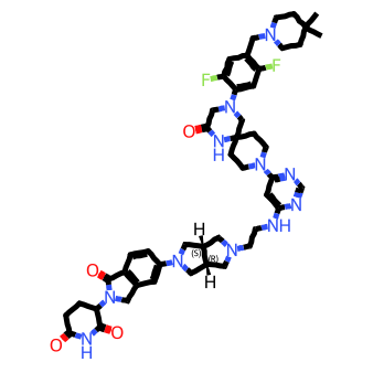 CC1(C)CCN(Cc2cc(F)c(N3CC(=O)NC4(CCN(c5cc(NCCN6C[C@@H]7CN(c8ccc9c(c8)CN(C8CCC(=O)NC8=O)C9=O)C[C@@H]7C6)ncn5)CC4)C3)cc2F)CC1